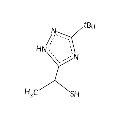 CC(S)c1nc(C(C)(C)C)n[nH]1